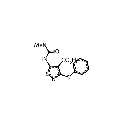 CNC(=O)Nc1snc(Sc2ccccc2)c1C(=O)O